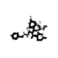 C=C/C=C\C1=C(C)C(C(=O)NOCc2ccccc2)C(c2ccc(Cl)cc2Cl)N([C@@H](CO)[C@@H](C)O)C1=O